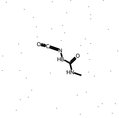 CNC(=O)BN=C=O